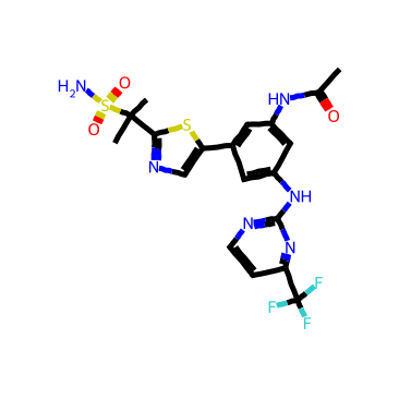 CC(=O)Nc1cc(Nc2nccc(C(F)(F)F)n2)cc(-c2cnc(C(C)(C)S(N)(=O)=O)s2)c1